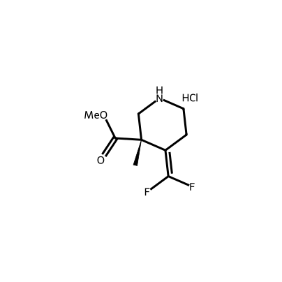 COC(=O)[C@]1(C)CNCCC1=C(F)F.Cl